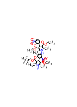 CCOC(=O)C1=C(C)NC(C)=C(C(=O)OC)C1c1cccc([N+](=O)[O-])c1.COC(=O)C1=C(C)NC(C)=C(C(=O)OCC(C)C)C1c1ccccc1[N+](=O)[O-]